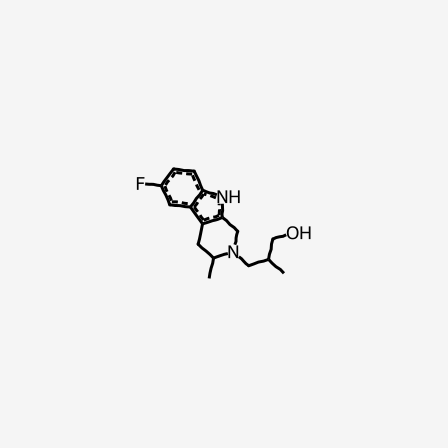 CC(CO)CN1Cc2[nH]c3ccc(F)cc3c2CC1C